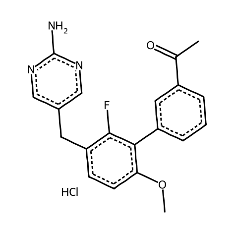 COc1ccc(Cc2cnc(N)nc2)c(F)c1-c1cccc(C(C)=O)c1.Cl